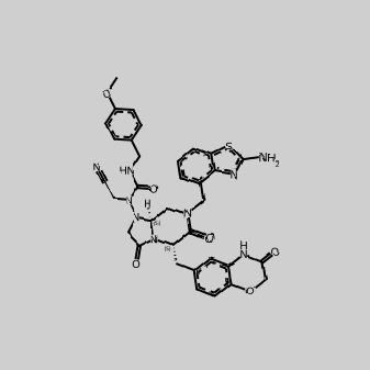 COc1ccc(CNC(=O)N(CC#N)N2CC(=O)N3[C@@H](Cc4ccc5c(c4)NC(=O)CO5)C(=O)N(Cc4cccc5sc(N)nc45)C[C@@H]32)cc1